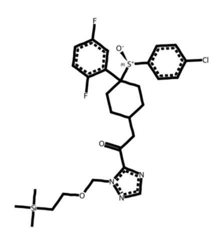 C[Si](C)(C)CCOCn1ncnc1C(=O)CC1CCC(c2cc(F)ccc2F)([S@@+]([O-])c2ccc(Cl)cc2)CC1